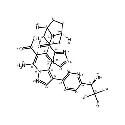 CC(=O)c1c([C@@H]2C[C@H]3CC[C@@H](C2)N3C(=O)c2nnc[nH]2)nc2c(-c3ccc([C@@H](O)C(F)(F)F)nc3)cnn2c1N